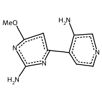 COc1cc(-c2ccncc2N)nc(N)n1